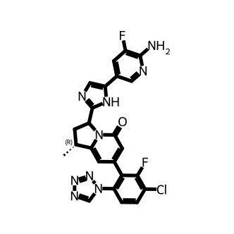 C[C@@H]1CC(c2ncc(-c3cnc(N)c(F)c3)[nH]2)n2c1cc(-c1c(-n3cnnn3)ccc(Cl)c1F)cc2=O